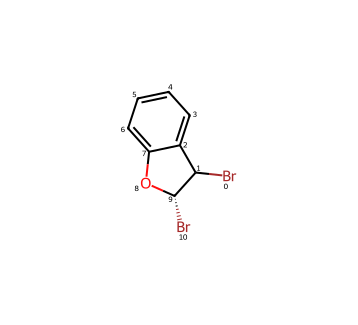 BrC1c2ccccc2O[C@H]1Br